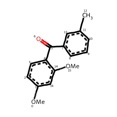 COc1ccc(C(=O)c2cccc(C)c2)c(OC)c1